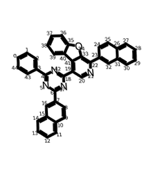 c1ccc(-c2nc(-c3ccc4ccccc4c3)nc(-c3cnc(-c4ccc5ccccc5c4)c4oc5ccccc5c34)n2)cc1